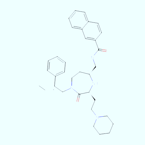 CC[C@@H](CN1CC[C@@H](CNC(=O)c2ccc3ccccc3c2)N[C@@H](CCN2CCCCC2)C1=O)c1ccccc1